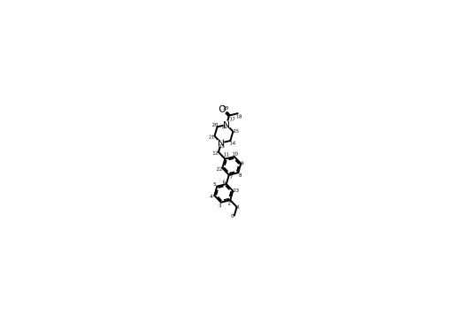 CCc1cccc(-c2cccc(CN3CCN(C(C)=O)CC3)c2)c1